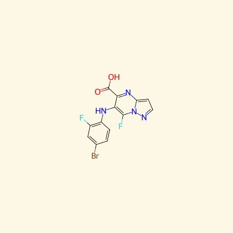 O=C(O)c1nc2ccnn2c(F)c1Nc1ccc(Br)cc1F